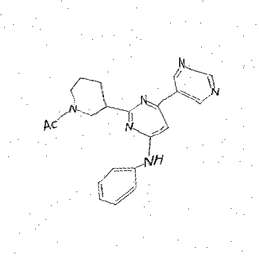 CC(=O)N1CCCC(c2nc(Nc3ccccc3)cc(-c3cncnc3)n2)C1